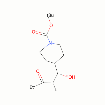 CCC(=O)[C@@H](C)[C@@H](O)C1CCN(C(=O)OC(C)(C)C)CC1